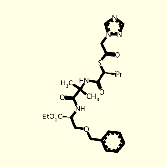 CCOC(=O)[C@H](COCc1ccccc1)NC(=O)C(C)(C)NC(=O)[C@@H](SC(=O)Cn1cncn1)C(C)C